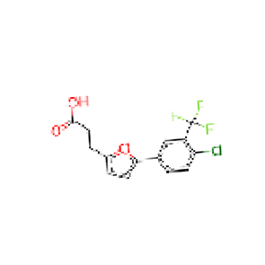 O=C(O)C=Cc1ccc(-c2ccc(Cl)c(C(F)(F)F)c2)o1